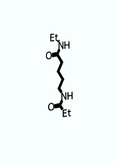 CCNC(=O)CCCCNC(=O)CC